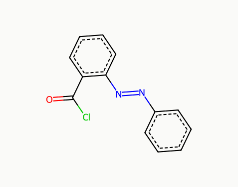 O=C(Cl)c1ccccc1/N=N/c1ccccc1